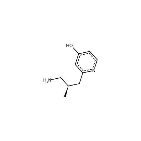 C[C@@H](CN)Cc1cc(O)ccn1